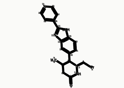 CC(C)CN1NC(=O)CC(C)C1c1ccc2[nH]c(-c3ccncc3)nc2c1